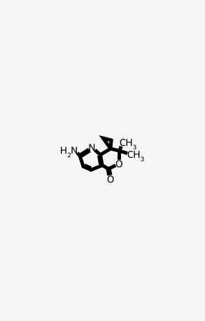 CC1(C)OC(=O)c2ccc(N)nc2C12CC2